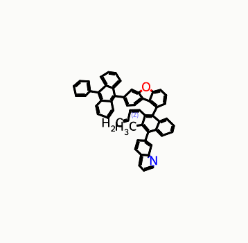 C=C/C=C\c1c(C)c(-c2ccc3cccnc3c2)c2ccccc2c1-c1cccc2oc3cc(-c4c5ccccc5c(-c5ccccc5)c5ccccc45)ccc3c12